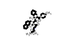 CN1CCN(C(=O)[C@@H](Cc2ccccc2)N(C)C(=O)[C@@H](Cc2ccc3ccccc3c2)N(C)C(=O)/C=C/CC(C)(C)N)CC1